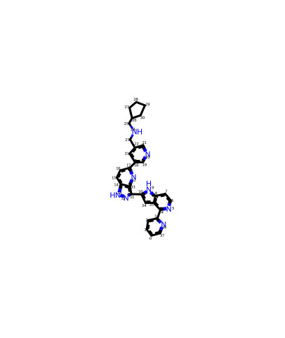 c1ccc(-c2nccc3[nH]c(-c4n[nH]c5ccc(-c6cncc(CNCC7CCCC7)c6)nc45)cc23)nc1